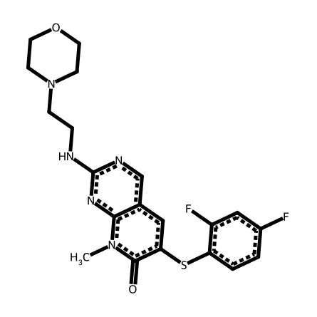 Cn1c(=O)c(Sc2ccc(F)cc2F)cc2cnc(NCCN3CCOCC3)nc21